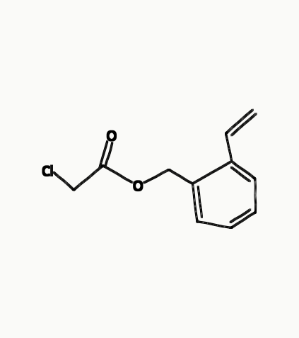 C=Cc1ccccc1COC(=O)CCl